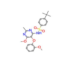 COc1ccccc1Oc1c(NS(=O)(=O)c2ccc(C(C)(C)C)cc2)nc(C)nc1OC